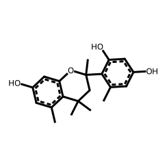 Cc1cc(O)cc2c1C(C)(C)CC(C)(c1c(C)cc(O)cc1O)O2